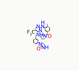 Cc1ccc(C(=O)N2CCCC2)cc1Nc1ncc(C(F)(F)F)c(NCc2cccc(N3CCNC3=O)c2)n1